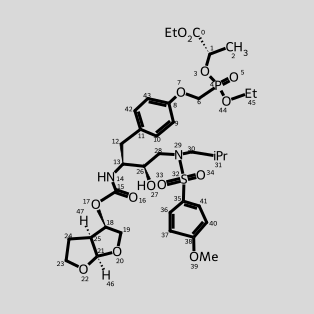 CCOC(=O)[C@H](C)OP(=O)(COc1ccc(C[C@H](NC(=O)O[C@H]2CO[C@H]3OCC[C@H]32)[C@H](O)CN(CC(C)C)S(=O)(=O)c2ccc(OC)cc2)cc1)OCC